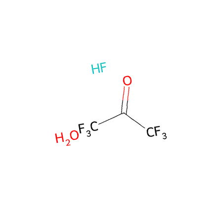 F.O.O=C(C(F)(F)F)C(F)(F)F